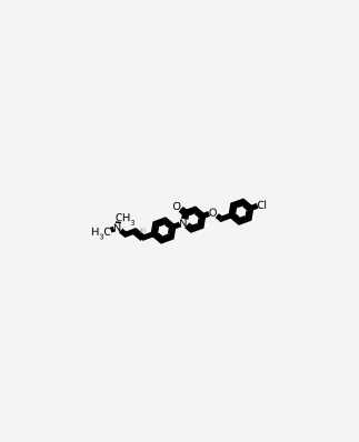 CN(C)C/C=C/c1ccc(-n2ccc(OCc3ccc(Cl)cc3)cc2=O)cc1